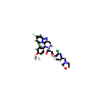 COc1ccc(C2c3c(nc4cc(Cl)ccn34)CCN2C(=O)COc2ccc(CN3CCOCC3)nc2Cl)c(F)c1